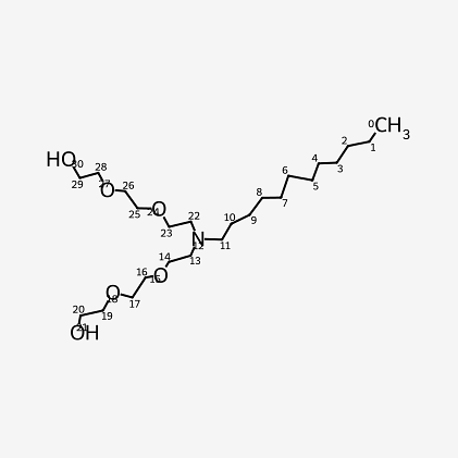 CCCCCCCCCCCCN(CCOCCOCCO)CCOCCOCCO